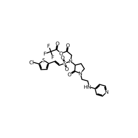 O=C(CN(C1CCN(CCNc2ccncc2)C1=O)S(=O)(=O)C=Cc1ccc(Cl)s1)OC(=O)C(F)(F)F